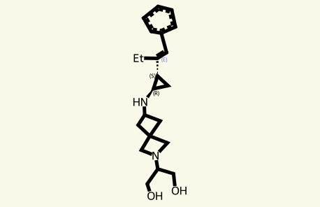 CC/C(=C\c1ccccc1)[C@@H]1C[C@H]1NC1CC2(C1)CN(C(CO)CO)C2